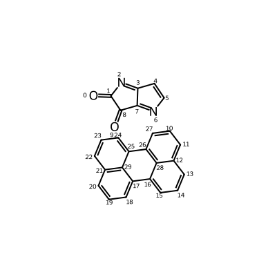 O=c1nc2ccnc-2c1=O.c1cc2cccc3c4cccc5cccc(c(c1)c23)c54